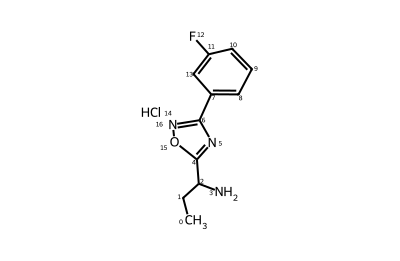 CCC(N)c1nc(-c2cccc(F)c2)no1.Cl